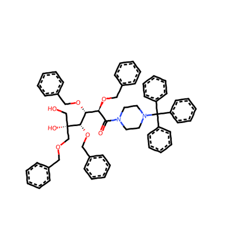 O=C([C@H](OCc1ccccc1)[C@@H](OCc1ccccc1)[C@H](OCc1ccccc1)[C@](O)(CO)COCc1ccccc1)N1CCN(C(c2ccccc2)(c2ccccc2)c2ccccc2)CC1